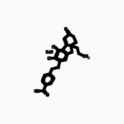 CCCC12CCC(=O)C=C1c1c(cc(OCc3ccc(C(=O)O)cc3)c(Cl)c1Cl)C2.[NaH]